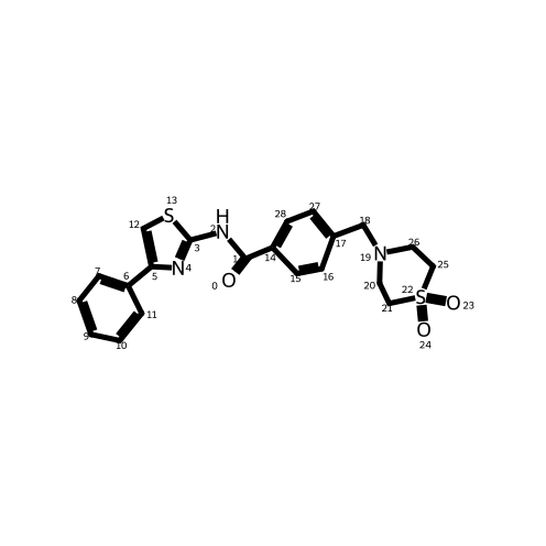 O=C(Nc1nc(-c2ccccc2)cs1)c1ccc(CN2CCS(=O)(=O)CC2)cc1